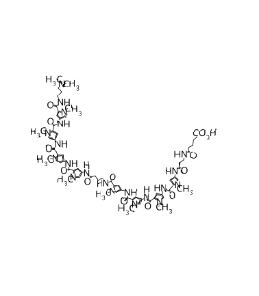 CN(C)CCCNC(=O)c1cc(NC(=O)c2cc(NC(=O)c3cc(NC(=O)c4cc(NC(=O)CCCNC(=O)c5cc(NC(=O)c6cc(NC(=O)c7cc(NC(=O)c8cc(NC(=O)CCNC(=O)CCCCC(=O)O)cn8C)cn7C)cn6C)cn5C)cn4C)cn3C)cn2C)cn1C